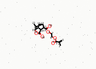 C=C(C)C(=O)OCCOC(=O)C1C2CC3C(OC(=O)C31)C2C